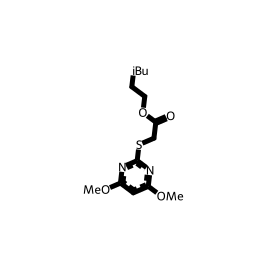 CCC(C)CCOC(=O)CSc1nc(OC)cc(OC)n1